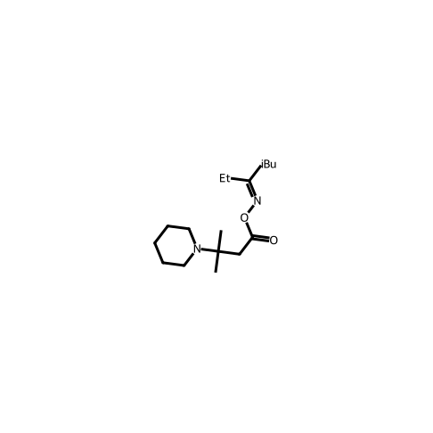 CC/C(=N\OC(=O)CC(C)(C)N1CCCCC1)C(C)CC